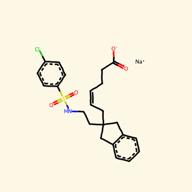 O=C([O-])CC/C=C\CC1(CCNS(=O)(=O)c2ccc(Cl)cc2)Cc2ccccc2C1.[Na+]